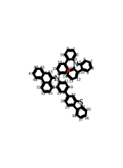 c1ccc(-n2c3ccccc3c3ccccc32)c(-c2ccc(N(c3ccc(-c4ccc5c(c4)sc4ccccc45)cc3)c3cc4ccccc4c4ccccc34)cc2)c1